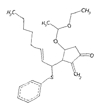 C=C1C(=O)CC(OC(C)OCC)C1C(/C=C/CCCCC)Sc1ccccc1